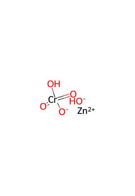 [OH-].[O]=[Cr](=[O])([O-])[OH].[Zn+2]